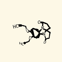 C#CCOc1ccc(N2C(=O)CCC23CCC(=O)N3c2ccc(OCC#C)cc2)cc1